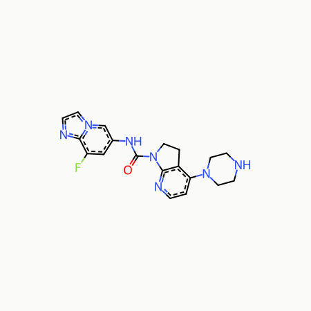 O=C(Nc1cc(F)c2nccn2c1)N1CCc2c(N3CCNCC3)ccnc21